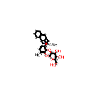 CO/C(=C1\C2CCCC1C1=C(CCCC1)C2)c1ccc(C#N)c(O[C@@H]2OC(CO)[C@H](O)[C@H](O)C2O)c1